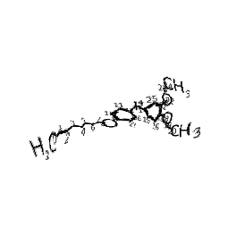 CCCCCCCCOc1ccc([I+]c2ccc(OCC)c(OCC)c2)cc1